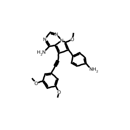 COc1cc(C#Cc2c(-c3ccc(N)cc3)c(OC)n3ncnc(N)c23)cc(OC)c1